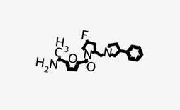 CC(N)c1ccc(C(=O)N2CC(F)CC2CN2CCC(c3ccccc3)C2)o1